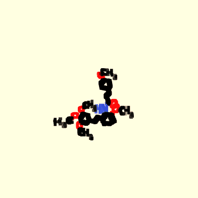 COc1ccc(/C=C/C(=O)Nc2c(C=Cc3cc(OC)c(OC)c(OC)c3)cccc2OC)cc1